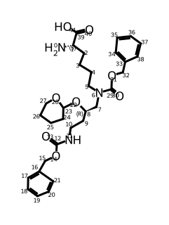 N[C@@H](CCCCN(C[C@@H](CCNC(=O)OCc1ccccc1)OC1CCCCO1)C(=O)OCc1ccccc1)C(=O)O